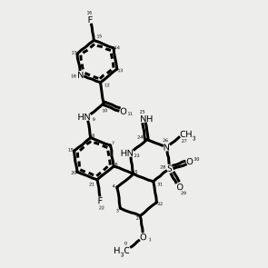 COC1CCC2(c3cc(NC(=O)c4ccc(F)cn4)ccc3F)NC(=N)N(C)S(=O)(=O)C2C1